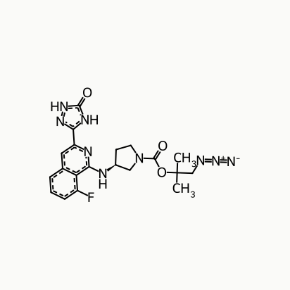 CC(C)(CN=[N+]=[N-])OC(=O)N1CC[C@H](Nc2nc(-c3n[nH]c(=O)[nH]3)cc3cccc(F)c23)C1